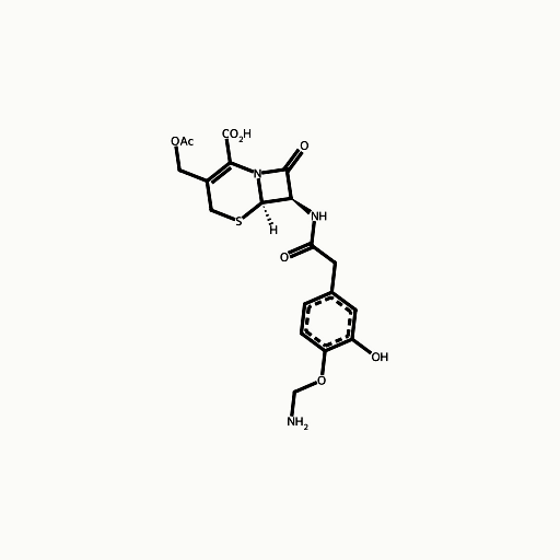 CC(=O)OCC1=C(C(=O)O)N2C(=O)[C@@H](NC(=O)Cc3ccc(OCN)c(O)c3)[C@H]2SC1